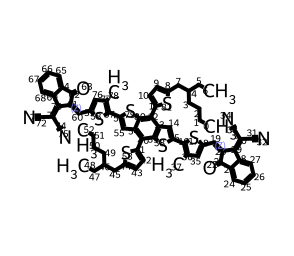 CCCCC(CC)Cc1ccc(-c2c3cc(-c4sc(/C=C5\C(=O)c6ccccc6C5=C(C#N)C#N)cc4C)sc3c(-c3ccc(CC(CC)CCCC)s3)c3cc(-c4sc(/C=C5\C(=O)c6ccccc6C5=C(C#N)C#N)cc4C)sc23)s1